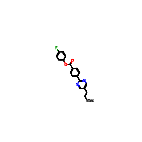 CCCCCCCCCCCCc1cnc(-c2ccc(C(=O)Oc3ccc(F)cc3)cc2)nc1